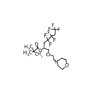 CC(C)(C)C(=O)OC(COCCN1CCOCC1)CC(F)(F)C(F)(F)CC(F)(F)F